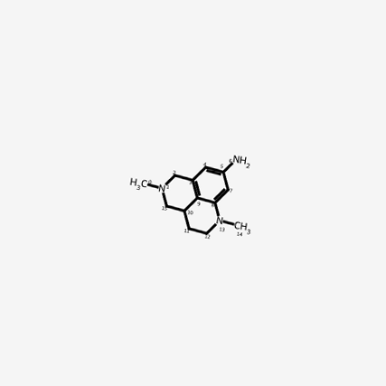 CN1Cc2cc(N)cc3c2C(CCN3C)C1